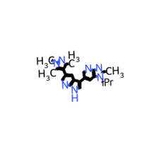 Cc1nn(C)c(C)c1-c1cnc2[nH]cc(-c3cnc4nc(C)n(C(C)C)c4c3)c2c1